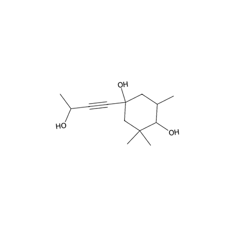 CC(O)C#CC1(O)CC(C)C(O)C(C)(C)C1